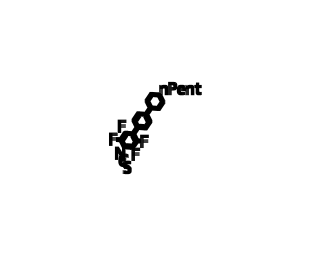 CCCCCC1CCC(c2ccc(-c3c(F)c(F)c(N=C=S)c(F)c3F)cc2)CC1